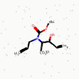 C=CCN(C(=O)OC(C)(C)C)C(C(=O)OCC)C(O)C=C